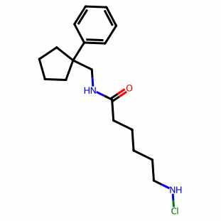 O=C(CCCCCNCl)NCC1(c2ccccc2)CCCC1